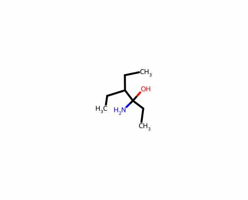 CCC(CC)C(N)(O)CC